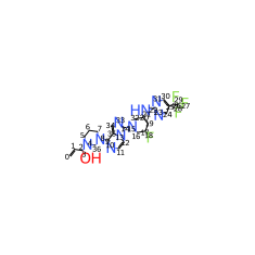 C=CC(O)N1CCCN(c2nccn3c(N4C[C@H](F)C[C@@H](Nc5ncc(C(F)(F)F)cn5)C4)ncc23)C1